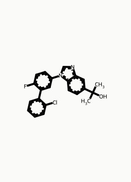 CC(C)(O)c1ccc2c(c1)ncn2-c1ccc(F)c(-c2ccccc2Cl)c1